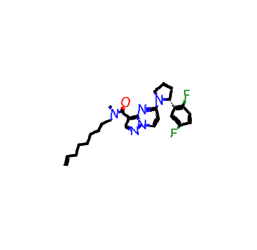 C=CCCCCCCCN(C)C(=O)c1cnn2ccc(N3CCC[C@@H]3c3cc(F)ccc3F)nc12